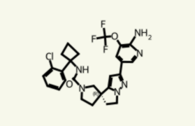 Nc1ncc(-c2cc3n(n2)CC[C@@]32CCN(C(=O)NC3(c4ccccc4Cl)CCC3)C2)cc1OC(F)(F)F